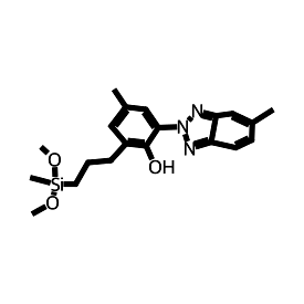 CO[Si](C)(CCCc1cc(C)cc(-n2nc3ccc(C)cc3n2)c1O)OC